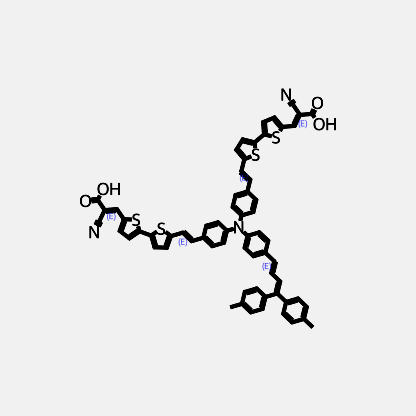 Cc1ccc(C(=C/C=C/c2ccc(N(c3ccc(/C=C/c4ccc(-c5ccc(/C=C(\C#N)C(=O)O)s5)s4)cc3)c3ccc(/C=C/c4ccc(-c5ccc(/C=C(\C#N)C(=O)O)s5)s4)cc3)cc2)c2ccc(C)cc2)cc1